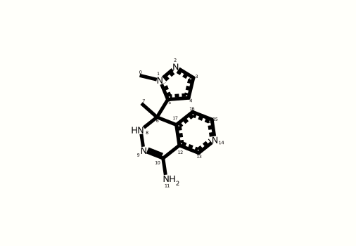 Cn1nccc1C1(C)NN=C(N)c2cnccc21